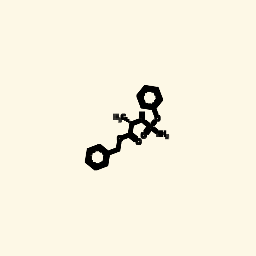 C[C@H](NP(N)(=O)Oc1ccccc1)C(=O)OCc1ccccc1